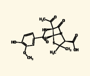 COc1cc(C(=O)N[C@@]2(C(C)=O)C(=O)N3[C@@H](C(=O)O)C(C)(C)S[C@@H]32)ccc1O